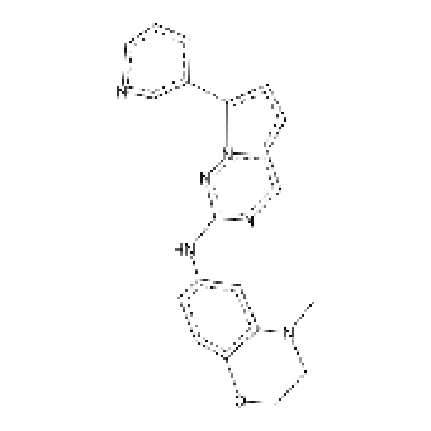 CN1CCOc2ccc(Nc3ncc4ccc(-c5cccnc5)n4n3)cc21